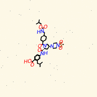 CC(C)COC(=O)NCC1CCC(C(=O)N2C[C@@H](N3CCN(S(C)(=O)=O)CC3)C[C@H]2C(=O)Nc2ccc(C(=O)O)c(CC(C)C)c2)CC1